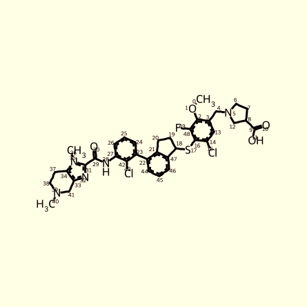 COc1c(CN2CCC(C(=O)O)C2)cc(Cl)c(SC2CCc3c(-c4cccc(NC(=O)c5nc6c(n5C)CCN(C)C6)c4Cl)cccc32)c1F